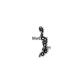 COc1cc2c(Oc3ccc(NC(=O)C4(C)CCN(c5ccc(F)cc5)C4=O)cc3F)ccnc2cc1OCCCN1CCOCC1